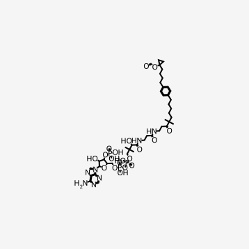 CC(C)(CCCCCc1ccc(CCCCC2(OC=O)CC2)cc1)C(=O)CCNC(=O)CCNC(=O)C(O)C(C)(C)COP(=O)(O)OP(=O)(O)OCC1OC(n2cnc3c(N)ncnc32)C(O)C1OP(=O)(O)O